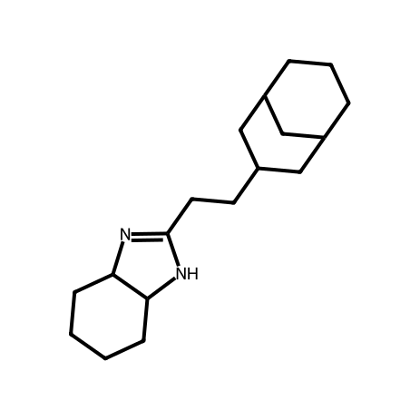 C1CC2CC(C1)CC(CCC1=NC3CCCCC3N1)C2